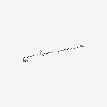 CCCC/C=C\CCCCCCCC(=O)OCCCCCCCCCCCCCCCCCCC(C)CC